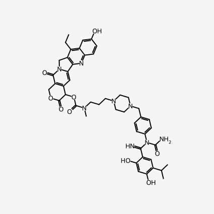 CCc1c2c(nc3ccc(O)cc13)-c1cc3c(c(=O)n1C2)COC(=O)C3OC(=O)N(C)CCCN1CCN(Cc2ccc(N(C(=N)c3cc(C(C)C)c(O)cc3O)C(N)=O)cc2)CC1